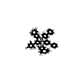 Cc1cc(C)c(-c2cc3c4c(c2)N(c2cc5c(cc2C)C(C)(C)CCC5(C)C)c2cc(-c5ccccc5)ccc2B4N(c2ccc(-c4ccccc4)cc2)c2cc4c(cc2-3)C(C)(C)CCC4(C)C)c(C)c1